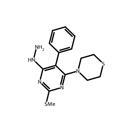 CSc1nc(NN)c(-c2ccccc2)c(N2CCSCC2)n1